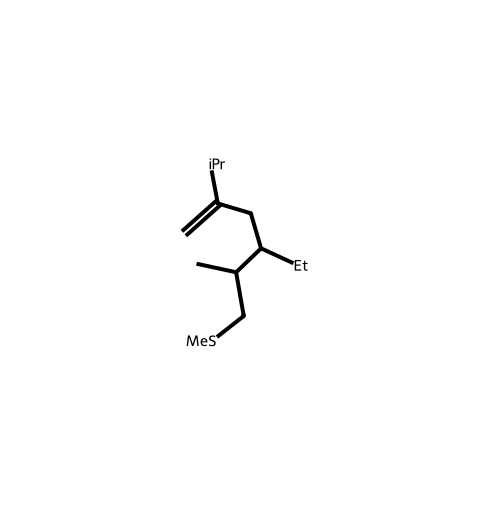 C=C(CC(CC)C(C)CSC)C(C)C